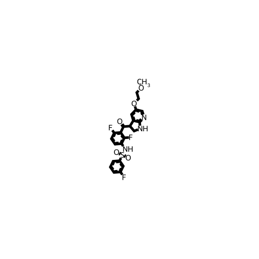 COCCOc1cnc2c(c1)C(C(=O)c1c(F)ccc(NS(=O)(=O)c3cccc(F)c3)c1F)CN2